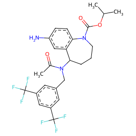 CC(=O)N(Cc1cc(C(F)(F)F)cc(C(F)(F)F)c1)C1CCCN(C(=O)OC(C)C)c2ccc(N)cc21